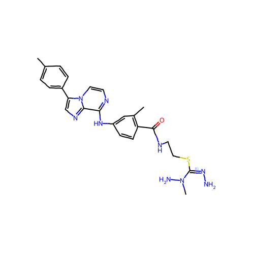 Cc1ccc(-c2cnc3c(Nc4ccc(C(=O)NCCS/C(=N/N)N(C)N)c(C)c4)nccn23)cc1